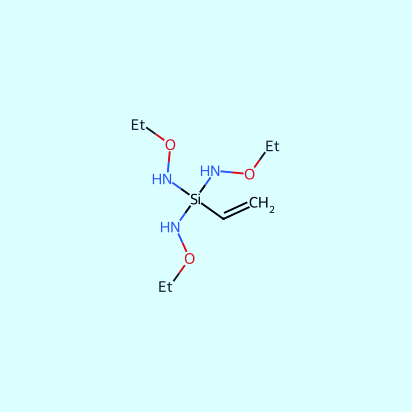 C=C[Si](NOCC)(NOCC)NOCC